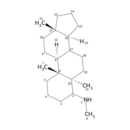 CNC1CCC[C@]2(C)[C@H]3CC[C@]4(C)CCC[C@H]4C3CC[C@@]12C